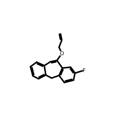 C=CCOC1=Cc2ccccc2Cc2ccc(F)cc21